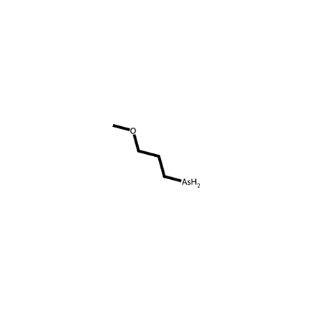 COCCC[AsH2]